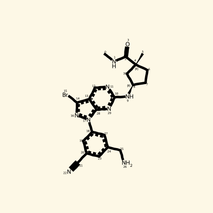 CNC(=O)[C@]1(C)CC[C@@H](Nc2ncc3c(Br)nn(-c4cc(C#N)cc(CN)c4)c3n2)C1